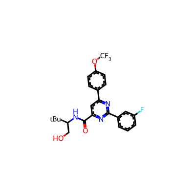 CC(C)(C)C(CO)NC(=O)c1cc(-c2ccc(OC(F)(F)F)cc2)nc(-c2cccc(F)c2)n1